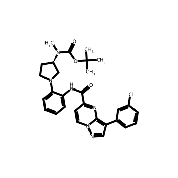 CN(C(=O)OC(C)(C)C)[C@@H]1CCN(c2ccccc2NC(=O)c2ccn3ncc(-c4cccc(Cl)c4)c3n2)C1